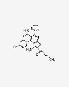 CCCC[S+]([O-])c1sc2nc(-c3nccs3)c(C(C)=O)c(-c3ccc(Br)cc3)c2c1N